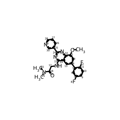 COc1cc(-c2cc(F)ccc2F)cc2c(NCC(=O)N(C)C)nc(-c3cccnc3)nc12